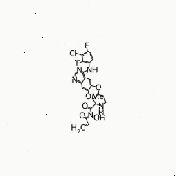 C=CC(=O)N(O)C(=O)C1CC(Oc2cc3c(Nc4ccc(F)c(Cl)c4F)ncnc3cc2OC)CCN1